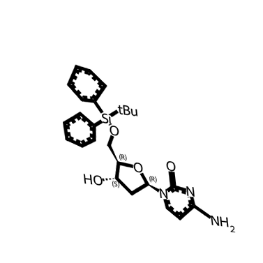 CC(C)(C)[Si](OC[C@H]1O[C@@H](n2ccc(N)nc2=O)C[C@@H]1O)(c1ccccc1)c1ccccc1